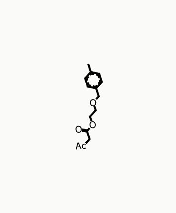 CC(=O)CC(=O)OCCOCc1ccc(C)cc1